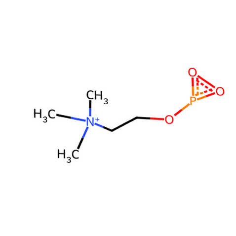 C[N+](C)(C)CCOp1oo1